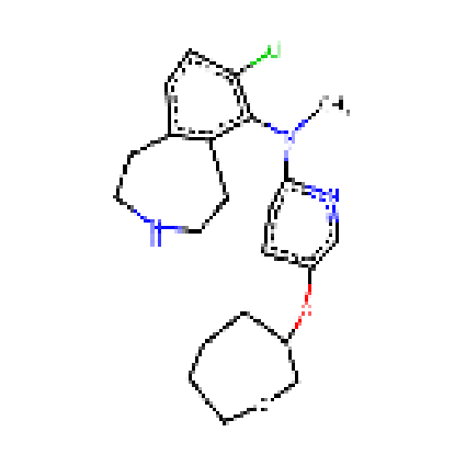 CN(c1ccc(OC2CCCCCC2)cn1)c1c(Cl)ccc2c1CCNCC2